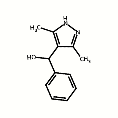 Cc1n[nH]c(C)c1C(O)c1ccccc1